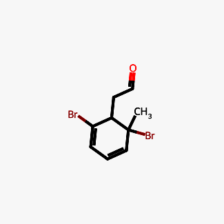 CC1(Br)C=CC=C(Br)C1CC=O